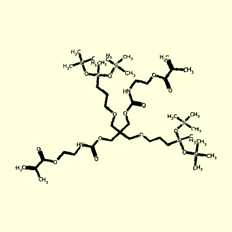 C=C(C)C(=O)OCCNC(=O)OCC(COCCC[Si](C)(O[Si](C)(C)C)O[Si](C)(C)C)(COCCC[Si](C)(O[Si](C)(C)C)O[Si](C)(C)C)COC(=O)NCCOC(=O)C(=C)C